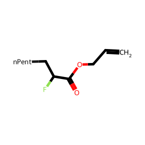 C=CCOC(=O)C(F)CCCCCC